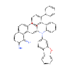 N=C1C=Cc2ccc3ccc(N(c4ccc5c(c4)oc4ccccc45)c4ccccc4-c4ccccc4-c4ccccc4)cc3c2C1=N